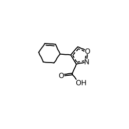 O=C(O)c1nocc1C1C=CCCC1